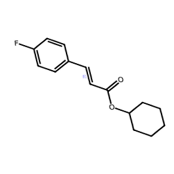 O=C(/C=C/c1ccc(F)cc1)OC1CCCCC1